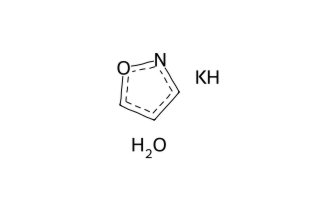 O.[KH].c1cnoc1